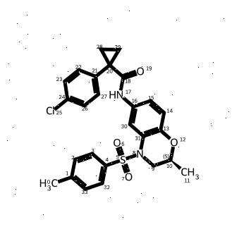 Cc1ccc(S(=O)(=O)N2C[C@H](C)Oc3ccc(NC(=O)C4(c5ccc(Cl)cc5)CC4)cc32)cc1